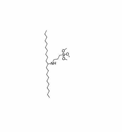 CCCCCCCCCCC(CCCCCCCCCC)NCCC[Si](OC)(OC)OC